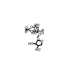 CO[PH]1(O[PH](O)(O)O[PH](O)(O)OC[C@@H]2OCC(N=O)C2O)OO1